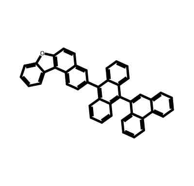 c1ccc2c(c1)cc(-c1c3ccccc3c(-c3ccc4c(ccc5oc6ccccc6c54)c3)c3ccccc13)c1ccccc12